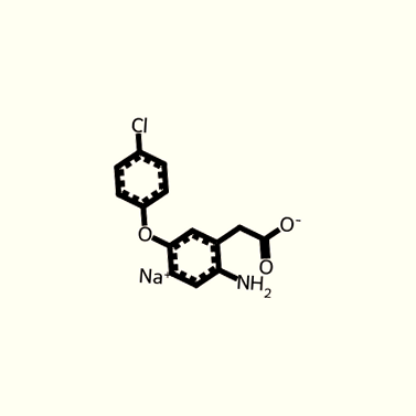 Nc1ccc(Oc2ccc(Cl)cc2)cc1CC(=O)[O-].[Na+]